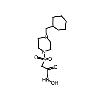 O=C(CS(=O)(=O)N1CCN(CC2CCCCC2)CC1)NO